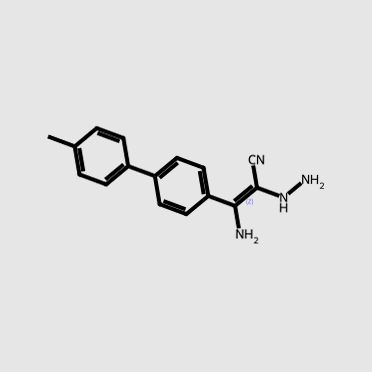 Cc1ccc(-c2ccc(/C(N)=C(\C#N)NN)cc2)cc1